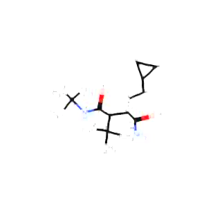 CC(C)(C)NC(=O)C([C@H](CCC1CC1)C(N)=O)C(C)(C)C